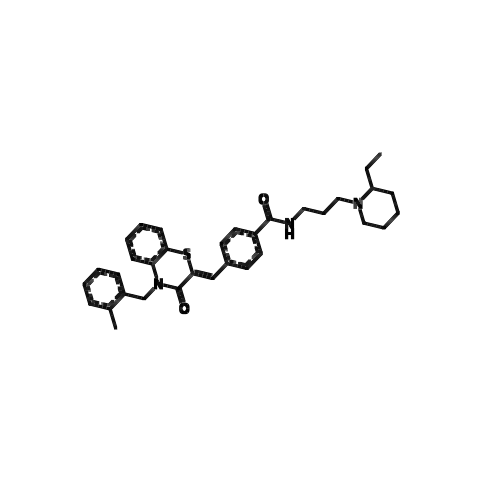 CCC1CCCCN1CCCNC(=O)c1ccc(C=C2Sc3ccccc3N(Cc3ccccc3C)C2=O)cc1